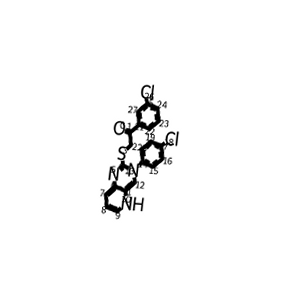 O=C(CSC1=NC2=CC=CNC2=CN1c1ccc(Cl)cc1)c1cccc(Cl)c1